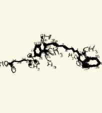 CN1/C(=C/C=C/C=C/C=C/C2=[N+](C)c3ccc(S(=O)(=O)N(C)CCCC(=O)O)cc3C2(C)C)C(C)(C)c2ccccc21